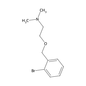 CN(C)CCOCc1ccccc1Br